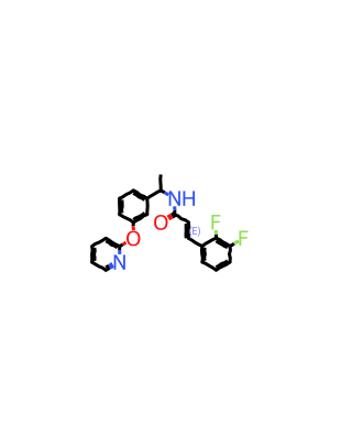 CC(NC(=O)/C=C/c1cccc(F)c1F)c1cccc(Oc2ccccn2)c1